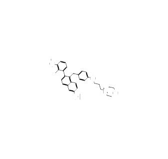 COc1cccc(-c2ccc3cc(O)ccc3c2Cc2ccc(OCCCN3CCOCC3)cc2)c1C